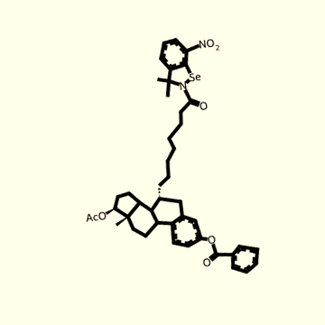 CC(=O)O[C@H]1CCC2C3C(CC[C@@]21C)c1ccc(OC(=O)c2ccccc2)cc1C[C@H]3CCCCCCCC(=O)N1[Se]c2c([N+](=O)[O-])cccc2C1(C)C